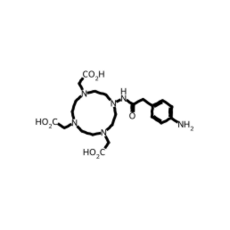 Nc1ccc(CC(=O)NN2CCN(CC(=O)O)CCN(CC(=O)O)CCN(CC(=O)O)CC2)cc1